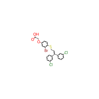 O=C(O)COc1ccc(SCC=C(c2cccc(Cl)c2)c2cccc(Cl)c2)c(Br)c1